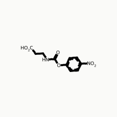 O=C(O)CCNC(=O)Oc1ccc([N+](=O)[O-])cc1